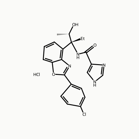 CC[C@@](NC(=O)c1c[nH]cn1)(c1cccc2oc(-c3ccc(Cl)cc3)nc12)[C@H](C)O.Cl